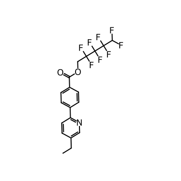 CCc1ccc(-c2ccc(C(=O)OCC(F)(F)C(F)(F)C(F)(F)C(F)F)cc2)nc1